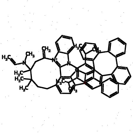 C=CN(C)C1(C)CC(=C)[n+]2c(n(-c3c(C(C)C)cc(-c4ccccc4)cc3C(C)C)c3ccccc32)-c2c(ccc3c2oc2c4c(ccc23)-c2ccccc2-c2ccccc2-c2ccccc2-4)CCC1(C)C